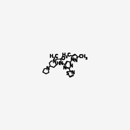 Cc1cc(C)n(-c2cc(NC(=O)C(C)N3CCC(N4CCCC4)CC3)nc(-c3nccs3)n2)n1